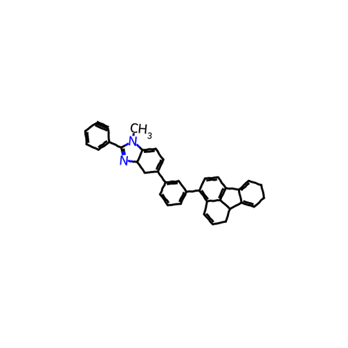 CN1C2=CC=C(c3cccc(-c4ccc5c6c4C=CCC6C4=CCCC=C45)c3)CC2N=C1c1c#cccc1